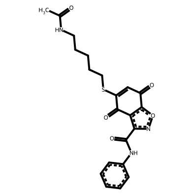 CC(=O)NCCCCCSC1=CC(=O)c2onc(C(=O)Nc3ccccc3)c2C1=O